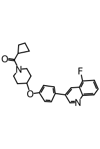 O=C(C1CCC1)N1CCC(Oc2ccc(-c3cnc4cccc(F)c4c3)cc2)CC1